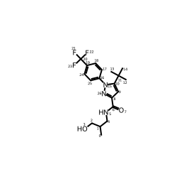 CC(CO)CNC(=O)c1cc(C(C)(C)C)n(-c2ccc(C(F)(F)F)cc2)n1